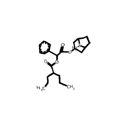 CCCC(CCC)C(=O)OC(C(=O)OC1CC2CCC(C1)N2C)c1ccccc1